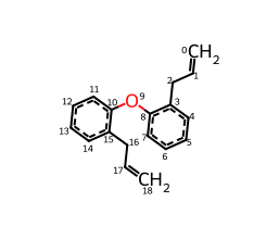 C=CCc1ccccc1Oc1ccccc1CC=C